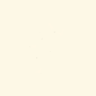 COC(=O)CC(C)C(=O)c1cccc(OC)c1